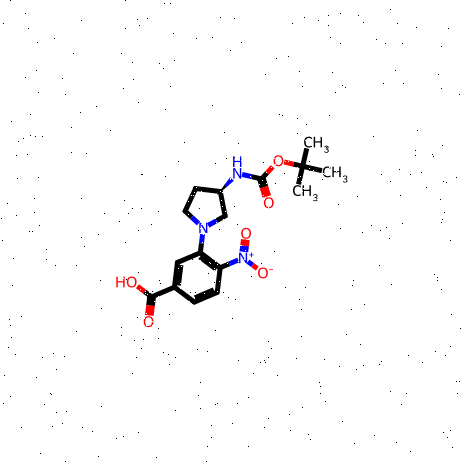 CC(C)(C)OC(=O)N[C@@H]1CCN(c2cc(C(=O)O)ccc2[N+](=O)[O-])C1